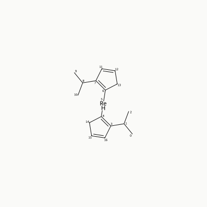 CC(C)C1=[C]([ReH][C]2=C(C(C)C)C=CC2)CC=C1